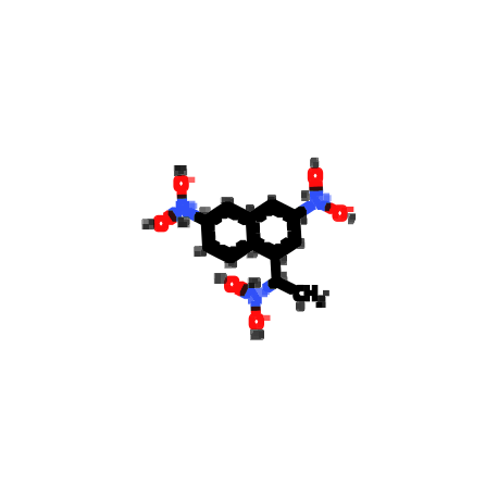 [CH2]C(c1cc([N+](=O)[O-])cc2cc([N+](=O)[O-])ccc12)[N+](=O)[O-]